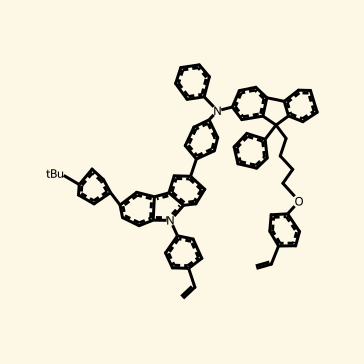 C=Cc1ccc(OCCCCC2(c3ccccc3)c3ccccc3-c3ccc(N(c4ccccc4)c4ccc(-c5ccc6c(c5)c5cc(-c7ccc(C(C)(C)C)cc7)ccc5n6-c5ccc(C=C)cc5)cc4)cc32)cc1